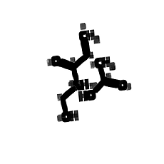 C=CC(=O)NCO.CC(=O)O